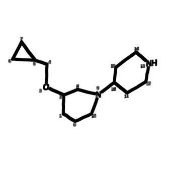 C1CC(OCC2CC2)CN(C2CCNCC2)C1